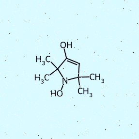 CC1(C)C=C(O)C(C)(C)N1O